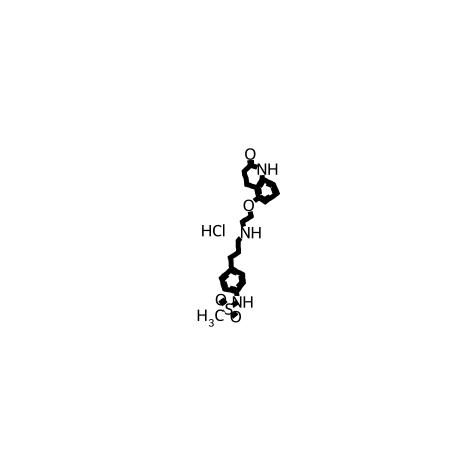 CS(=O)(=O)Nc1ccc(CCCNCCOc2cccc3c2CCC(=O)N3)cc1.Cl